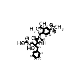 CC(C)c1cc(S(C)(=O)=O)ccc1CN1CNC(C(O)(CNC(=O)O)Cc2ccccc2)C1=O